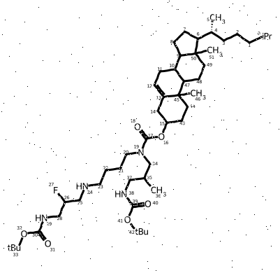 CC(C)CCC[C@@H](C)C1CCC2C3CC=C4CC(OC(=O)N(CCCCNCC(F)CNC(=O)OC(C)(C)C)CC(C)CNC(=O)OC(C)(C)C)CCC4(C)C3CCC21C